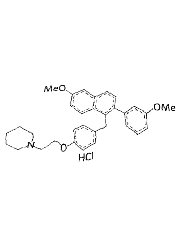 COc1cccc(-c2ccc3cc(OC)ccc3c2Cc2ccc(OCCN3CCCCC3)cc2)c1.Cl